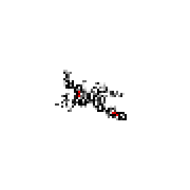 COC(=O)NC(C(=O)NC(Cc1ccc(-c2cnc(N3CC4CCC(C3)N4C3COC3)nc2)cc1)C(O)CN(Cc1c(F)cc(-c2ccn(CC(F)F)n2)cc1F)NC(=O)C(NC(=O)O)C(C)(C)C)C(C)(C)C(F)(F)F